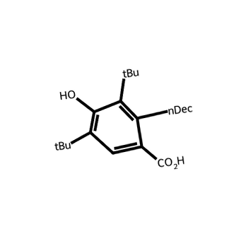 CCCCCCCCCCc1c(C(=O)O)cc(C(C)(C)C)c(O)c1C(C)(C)C